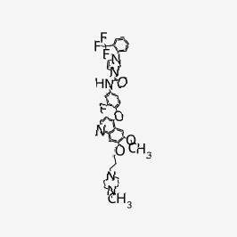 COc1cc2c(Oc3ccc(NC(=O)N4C=CN(c5ccccc5C(F)(F)F)C4)cc3F)ccnc2cc1OCCCN1CCN(C)CC1